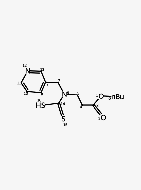 CCCCOC(=O)CCN(Cc1cccnc1)C(=S)S